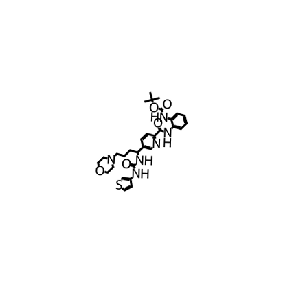 CC(C)(C)OC(=O)Nc1ccccc1NC(=O)c1ccc(C(CCCN2CCOCC2)NC(=O)Nc2ccsc2)cn1